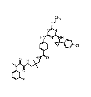 CN(C(=O)C(=O)NCC(C)(C)CNC(=O)c1ccc(Nc2nc(NC3(c4ccc(Cl)cc4)CC3)nc(OCC(F)(F)F)n2)cc1)c1cccc(F)c1